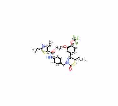 CCC1SC(=O)N(Cc2ccc(NC(=O)c3sc(C)nc3C)cc2)N=C1c1ccc(OC(F)(F)F)c(OC)c1